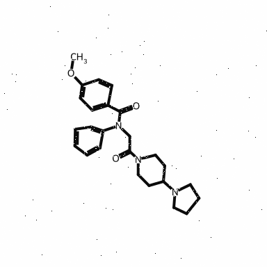 COc1ccc(C(=O)N(CC(=O)N2CCC(N3CCCC3)CC2)c2ccccc2)cc1